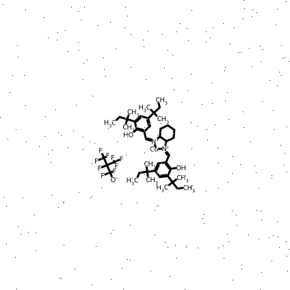 CCC(C)(C)c1cc(C=[N+]2[Co][N+](=Cc3cc(C(C)(C)CC)cc(C(C)(C)CC)c3O)C3CCCCC32)c(O)c(C(C)(C)CC)c1.[O-]C(F)(F)C(F)(C(F)(F)F)C(F)(F)F